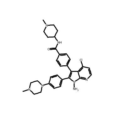 CN1CCC(NC(=O)c2ccc(-c3c(-c4ccc(N5CCN(C)CC5)cc4)n(N)c4nccc(Cl)c34)cc2)CC1